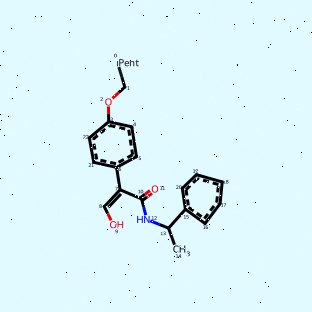 CCCC(C)COc1ccc(C(=CO)C(=O)NC(C)c2ccccc2)cc1